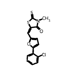 CN1C(=O)/C(=C\c2ccc(-c3ccccc3Cl)o2)SC1=S